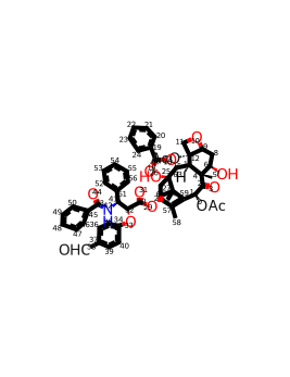 CC(=O)O[C@@H]1C(=O)[C@@]2(C)[C@H](O)CC3OC[C@]3(OC(C)=O)[C@@H]2[C@@H](OC(=O)c2ccccc2)[C@@]2(O)C[C@@H](OC(=O)[C@H](Oc3ccc(C=O)cc3)[C@@H](NC(=O)c3ccccc3)c3ccccc3)C(C)=C1C2(C)C